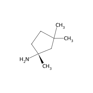 CC1(C)CC[C@@](C)(N)C1